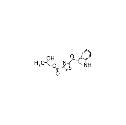 CC(O)COC(=O)c1csc(C(=O)c2c[nH]c3ccccc23)n1